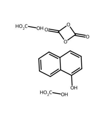 O=C(O)O.O=C(O)O.O=C1OC(=O)O1.Oc1cccc2ccccc12